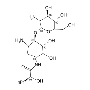 CCC[C@H](O)C(=O)N[C@@H]1CC(N)[C@@H](O[C@H]2OC(CO)[C@@H](O)[C@H](O)C2N)[C@H](O)C1O